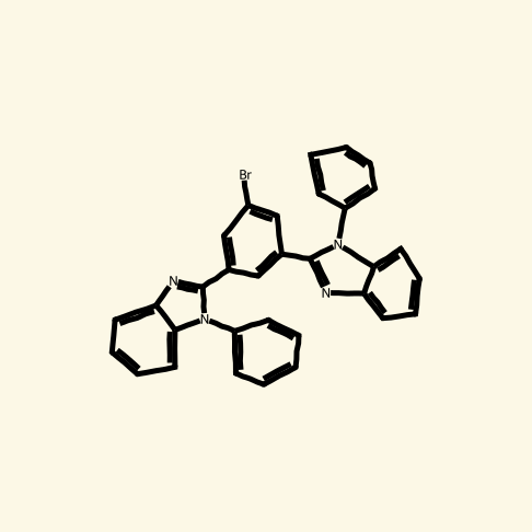 Brc1cc(-c2nc3ccccc3n2-c2ccccc2)cc(-c2nc3ccccc3n2-c2ccccc2)c1